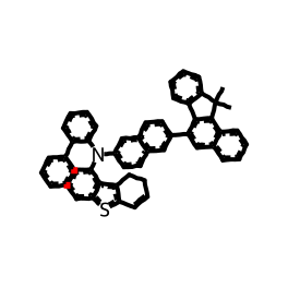 CC1(C)c2ccccc2-c2c(-c3ccc4cc(N(c5ccccc5-c5ccccc5)c5cccc6sc7c(c56)CCC=C7)ccc4c3)cc3ccccc3c21